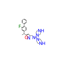 CC(c1ccc(-c2ccccc2)c(F)c1)c1cc(CN=C(N2CCNCC2)N2CCNCC2)no1